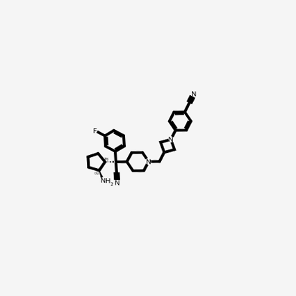 N#Cc1ccc(N2CC(CN3CCC(C(C#N)(c4cccc(F)c4)[C@H]4CCC[C@@H]4N)CC3)C2)cc1